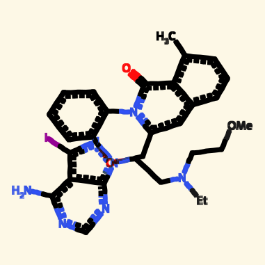 CCN(CCOC)CCOc1ccccc1-n1c(Cn2nc(I)c3c(N)ncnc32)cc2cccc(C)c2c1=O